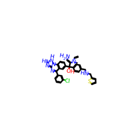 C=CN(C)/C(=C\N)C(O)(c1ccc(CNCc2cccs2)cc1)c1ccc2c(c1)C(c1cccc(Cl)c1)=NC1=NNNN12